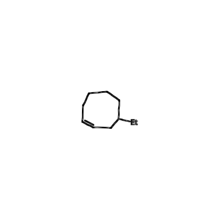 [CH2]CC1CC=CCCCC1